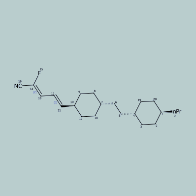 CCC[C@H]1CC[C@H](CC[C@H]2CC[C@H](/C=C/C=C(\F)C#N)CC2)CC1